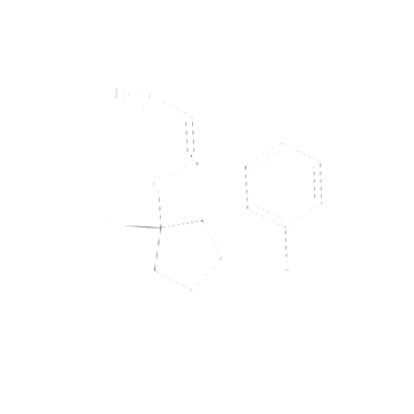 CCC1(O/N=C\C(=O)O)CCCC1.Fc1ccccc1